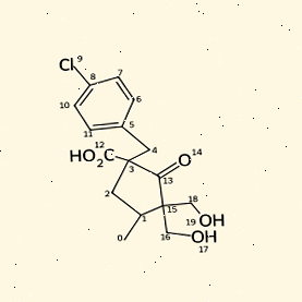 CC1CC(Cc2ccc(Cl)cc2)(C(=O)O)C(=O)C1(CO)CO